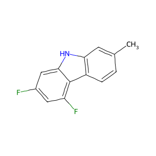 Cc1ccc2c(c1)[nH]c1cc(F)cc(F)c12